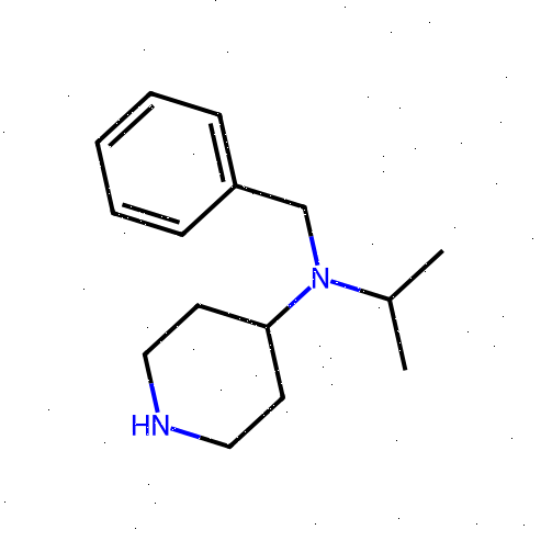 CC(C)N(Cc1ccccc1)C1CCNCC1